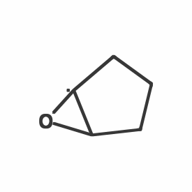 C1C[C]2OC2C1